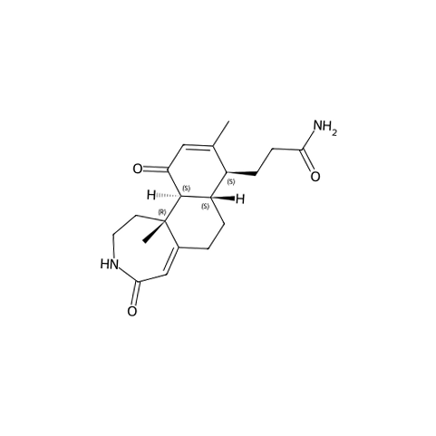 CC1=CC(=O)[C@H]2[C@@H](CCC3=CC(=O)NCC[C@@]32C)[C@@H]1CCC(N)=O